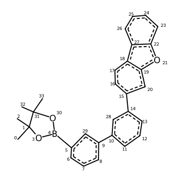 CC1(C)OB(c2cccc(-c3cccc(-c4ccc5c(c4)oc4ccccc45)c3)c2)OC1(C)C